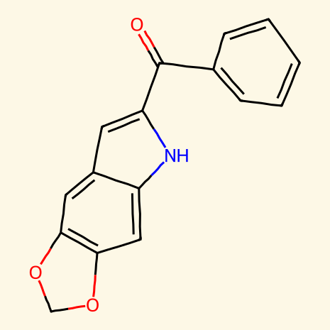 O=C(c1ccccc1)c1cc2cc3c(cc2[nH]1)OCO3